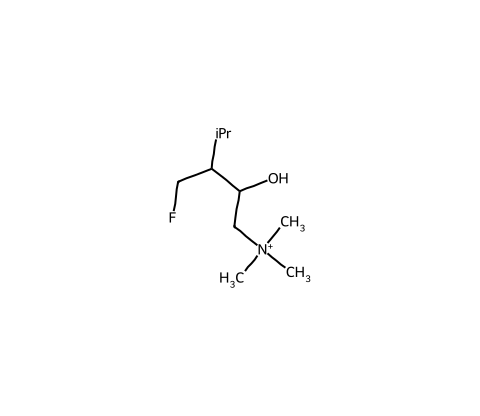 CC(C)C(CF)C(O)C[N+](C)(C)C